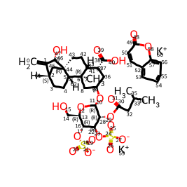 C=C1[C@H]2CC[C@H]3[C@]4(C)C[C@H](O[C@@H]5O[C@H](CO)[C@@H](OS(=O)(=O)[O-])[C@H](OS(=O)(=O)[O-])[C@H]5OC(=O)CC(C)C)C[C@@H](C(=O)O)[C@H]4CC[C@]3(C2)[C@H]1O.O=c1ccc2ccccc2o1.[K+].[K+]